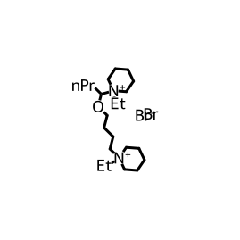 CCCC(OCCCC[N+]1(CC)CCCCC1)[N+]1(CC)CCCCC1.[Br-].[Br-]